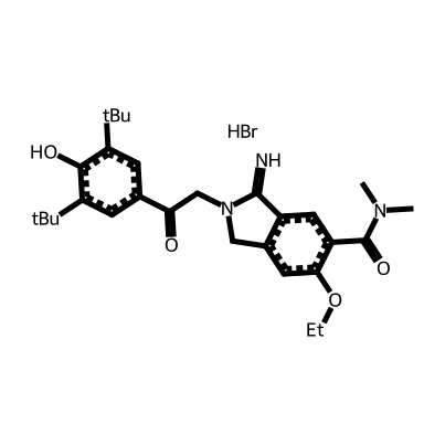 Br.CCOc1cc2c(cc1C(=O)N(C)C)C(=N)N(CC(=O)c1cc(C(C)(C)C)c(O)c(C(C)(C)C)c1)C2